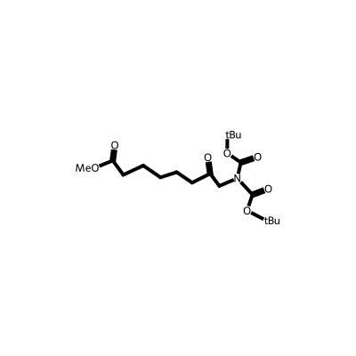 COC(=O)CCCCCC(=O)CN(C(=O)OC(C)(C)C)C(=O)OC(C)(C)C